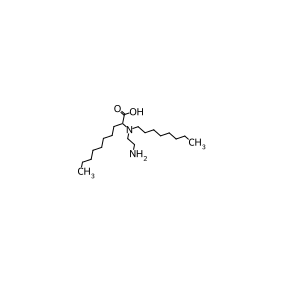 CCCCCCCCC(C(=O)O)N(CCN)CCCCCCCC